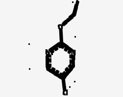 CCOc1ncc(Cl)cn1